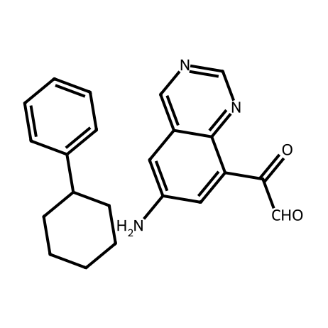 Nc1cc(C(=O)C=O)c2ncncc2c1.c1ccc(C2CCCCC2)cc1